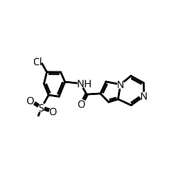 CS(=O)(=O)c1cc(Cl)cc(NC(=O)c2cc3cnccn3c2)c1